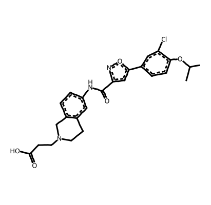 CC(C)Oc1ccc(-c2cc(C(=O)Nc3ccc4c(c3)CCN(CCC(=O)O)C4)no2)cc1Cl